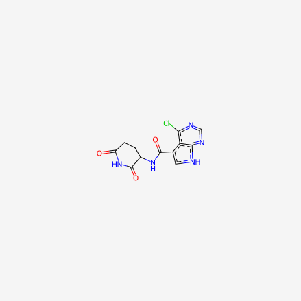 O=C1CCC(NC(=O)c2c[nH]c3ncnc(Cl)c23)C(=O)N1